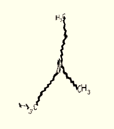 CCCCCCCCCCCCCCCCN1C=CN(CCCCCCCCCCCCCCCC)C1CCCCCCCCCCC